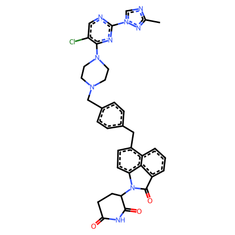 Cc1ncn(-c2ncc(Cl)c(N3CCN(Cc4ccc(Cc5ccc6c7c(cccc57)C(=O)N6C5CCC(=O)NC5=O)cc4)CC3)n2)n1